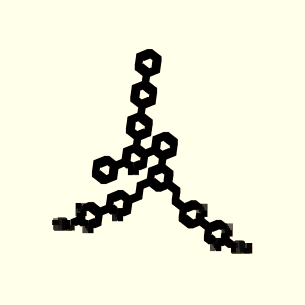 CC(C)(C)c1ncc(-c2ccc(CCc3cc(CCc4ccc(-c5cnc(C(C)(C)C)nc5)nc4)cc(-c4ccccc4-c4cnc(-c5ccccc5)cc4-c4ccc(-c5ccc(-c6ccccc6)cc5)cc4)c3)cn2)cn1